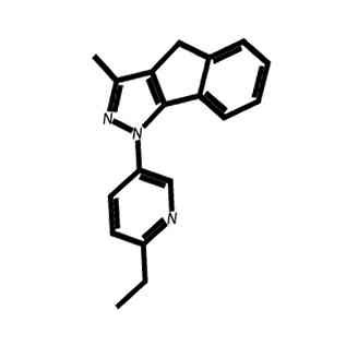 CCc1ccc(-n2nc(C)c3c2-c2ccccc2C3)cn1